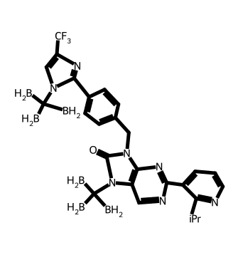 BC(B)(B)n1cc(C(F)(F)F)nc1-c1ccc(Cn2c(=O)n(C(B)(B)B)c3cnc(-c4cccnc4C(C)C)nc32)cc1